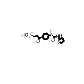 O=C(O)CCC(=O)c1ccc(NC(=O)Nc2cccs2)cc1